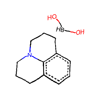 OBO.c1cc2c3c(c1)CCCN3CCC2